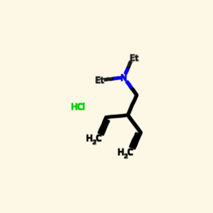 C=CC(C=C)CN(CC)CC.Cl